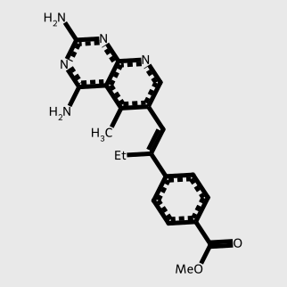 CCC(=Cc1cnc2nc(N)nc(N)c2c1C)c1ccc(C(=O)OC)cc1